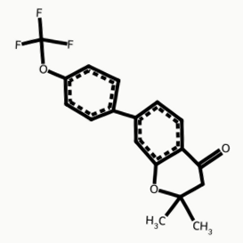 CC1(C)CC(=O)c2ccc(-c3ccc(OC(F)(F)F)cc3)cc2O1